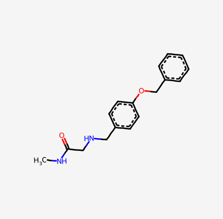 CNC(=O)CNCc1ccc(OCc2ccccc2)cc1